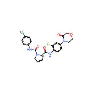 O=C(Nc1ccc(N2CCOCC2=O)cc1F)[C@H]1C=CCN1C(=O)Nc1ccc(Cl)cc1